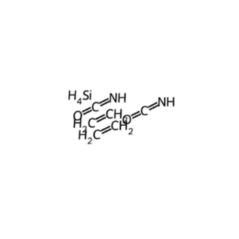 C=C.C=C.N=C=O.N=C=O.[SiH4]